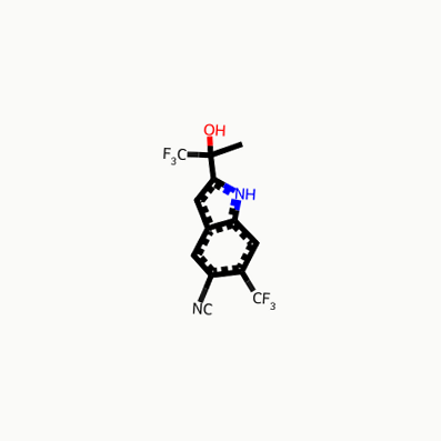 [C-]#[N+]c1cc2cc(C(C)(O)C(F)(F)F)[nH]c2cc1C(F)(F)F